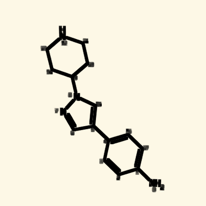 Nc1ccc(-c2cnn(C3CCNCC3)c2)cc1